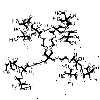 CC(CO)(CO)C(=O)OCC(C)(COC(=O)C(C)(CO)CO)C(=O)OCCOCC(COCCOC(=O)C(C)(COC(=O)C(C)(CO)CO)COC(=O)C(C)(CO)CO)(COCCOC(=O)C(C)(COC(=O)C(C)(CO)CO)COC(=O)C(C)(CO)CO)COCCOC(=O)C(C)(COC(=O)C(C)(CO)CO)COC(=O)C(C)(CO)CO